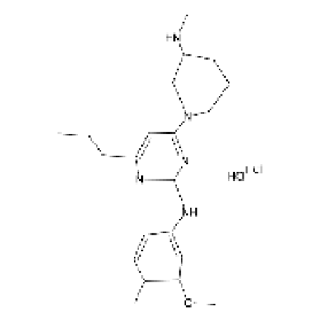 CCCc1cc(N2CCCC(NC)C2)nc(Nc2ccc(C)c(OC)c2)n1.Cl.Cl